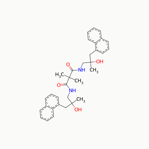 CC(O)(CNC(=O)C(C)(C)C(=O)NCC(C)(O)Cc1cccc2ccccc12)Cc1cccc2ccccc12